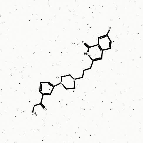 COC(=O)c1cccc(N2CCN(CCCc3cc4ccc(F)cc4c(=O)[nH]3)CC2)c1